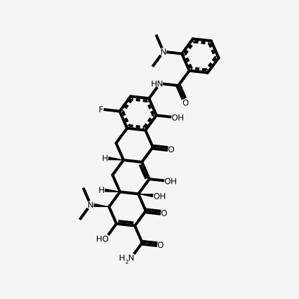 CN(C)c1ccccc1C(=O)Nc1cc(F)c2c(c1O)C(=O)C1=C(O)[C@]3(O)C(=O)C(C(N)=O)=C(O)[C@@H](N(C)C)[C@@H]3C[C@@H]1C2